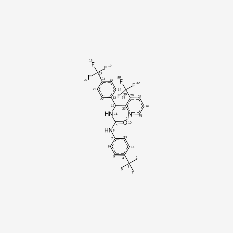 CC(C)(C)c1ccc(NC(=O)NC(c2ccc(C(F)(F)F)cc2)c2ncccc2C(F)(F)F)cc1